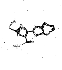 NSc1nc(C(=O)C(=O)O)c(-c2nc3ccccc3s2)s1